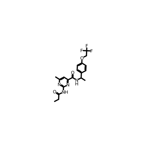 CCC(=O)Nc1nc(C)cc(C(=O)NC(C)c2ccc(OCC(F)(F)F)cc2)n1